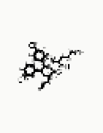 C=CC[C@@]1(C)CC(c2cccc(Cl)c2)C(c2ccc(Cl)cc2)N(C(CC)C(O)CCCO)C1=O